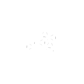 O=C(Oc1c(Cl)cc(C2(c3cc(Cl)c(O)c(Cl)c3)c3ccccc3-c3ccccc32)cc1Cl)c1ccccc1